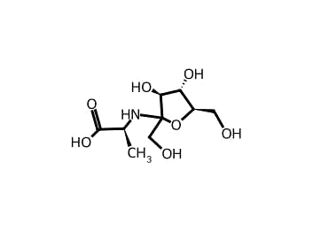 C[C@H](NC1(CO)O[C@H](CO)[C@@H](O)[C@@H]1O)C(=O)O